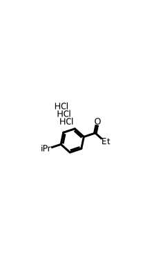 CCC(=O)c1ccc(C(C)C)cc1.Cl.Cl.Cl